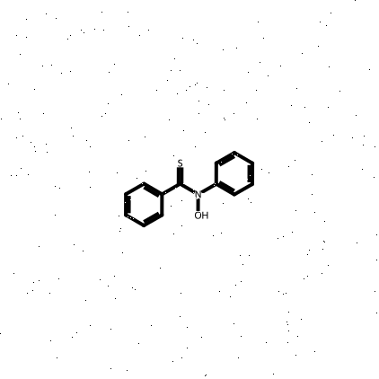 ON(C(=S)c1ccccc1)c1ccccc1